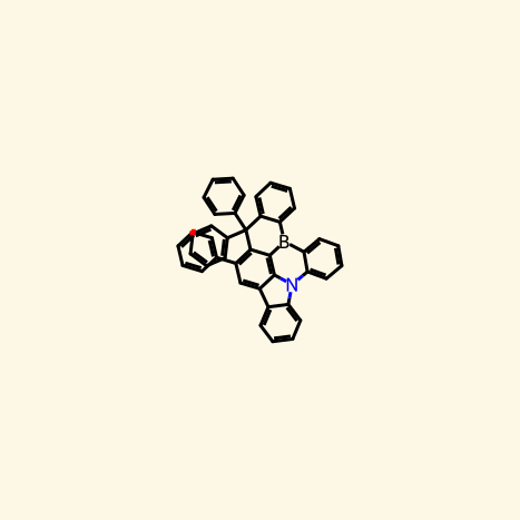 c1ccc(-c2cc3c4ccccc4n4c3c3c2C(c2ccccc2)(c2ccccc2)c2ccccc2B3c2ccccc2-4)cc1